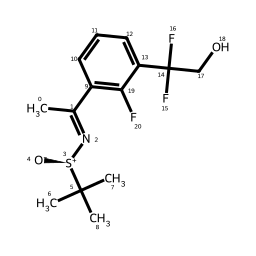 CC(=N[S@+]([O-])C(C)(C)C)c1cccc(C(F)(F)CO)c1F